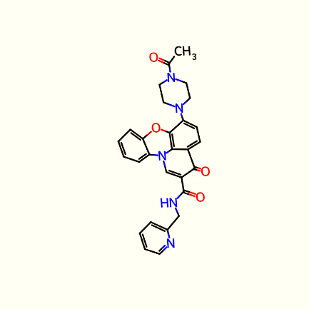 CC(=O)N1CCN(c2ccc3c(=O)c(C(=O)NCc4ccccn4)cn4c3c2Oc2ccccc2-4)CC1